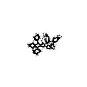 c1ccc(-c2c3ccccc3c(-c3ccccc3)c3cc(-c4ccncc4-c4cnccc4-n4c5ccccc5c5cnccc54)ccc23)cc1